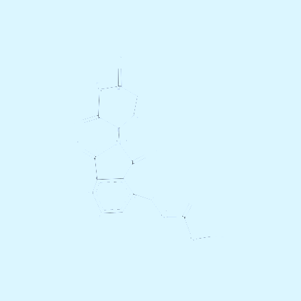 CCCCCCCCNC(=O)NCc1cccc2c1C(=O)N(C1CCC(=O)NC1=O)C2=O